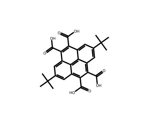 CC(C)(C)c1cc2c(C(=O)O)c(C(=O)O)c3cc(C(C)(C)C)cc4c(C(=O)O)c(C(=O)O)c(c1)c2c34